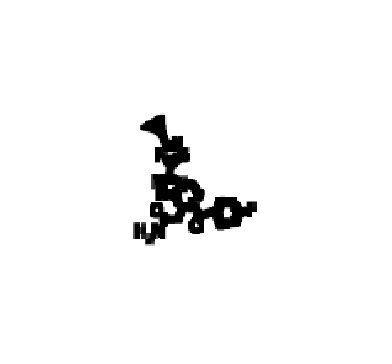 NC(=O)CC1c2nnc(-c3nc(C4CC4)ns3)n2CCN1C(=O)c1ccc(F)cc1